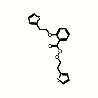 O=C(OOCCc1cccs1)c1ccccc1OCCc1cccs1